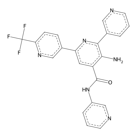 Nc1c(C(=O)Nc2cccnc2)cc(-c2ccc(C(F)(F)F)nc2)nc1-c1cccnc1